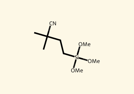 CO[Si](CCC(C)(C)C#N)(OC)OC